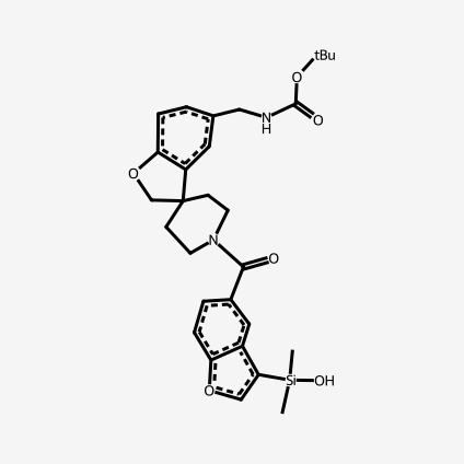 CC(C)(C)OC(=O)NCc1ccc2c(c1)C1(CCN(C(=O)c3ccc4occ([Si](C)(C)O)c4c3)CC1)CO2